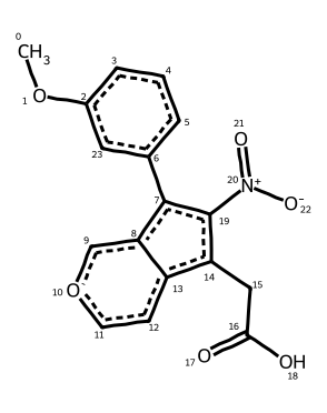 COc1cccc(-c2c3coccc-3c(CC(=O)O)c2[N+](=O)[O-])c1